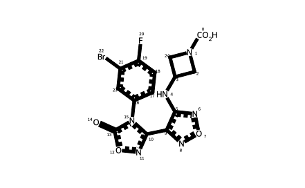 O=C(O)N1CC(Nc2nonc2-c2noc(=O)n2-c2ccc(F)c(Br)c2)C1